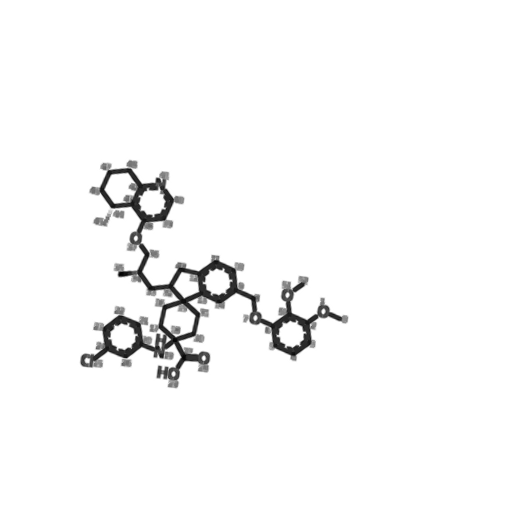 COc1cccc(OCc2ccc3c(c2)C2(CCC(Nc4cccc(Cl)c4)(C(=O)O)CC2)C(C[C@@H](C)COc2ccnc4c2[C@H](C)CCC4)C3)c1OC